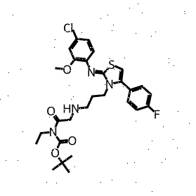 CCN(C(=O)CNCCCn1c(-c2ccc(F)cc2)csc1=Nc1ccc(Cl)cc1OC)C(=O)OC(C)(C)C